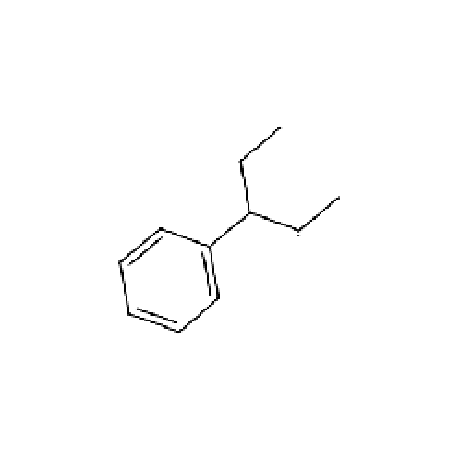 C[CH]C(CC)c1ccccc1